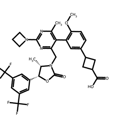 COc1ccc(C2CC(C(=O)O)C2)cc1-c1c(C)nc(N2CCC2)nc1CN1C(=O)O[C@H](c2cc(C(F)(F)F)cc(C(F)(F)F)c2)[C@@H]1C